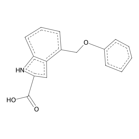 O=C(O)c1cc2c(COc3ccccc3)cccc2[nH]1